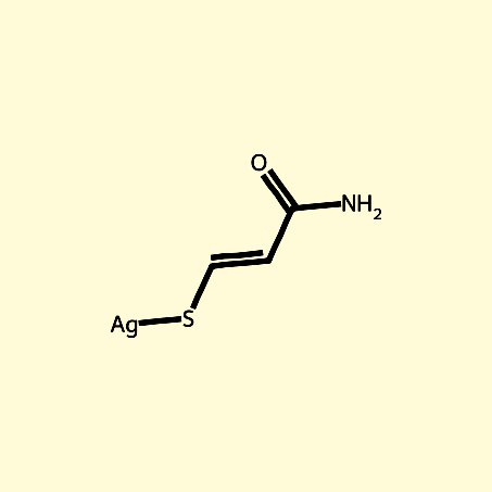 NC(=O)C=C[S][Ag]